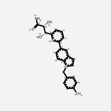 Cc1ccc(Cn2ccc3cc(-c4cccc([C@H](O)[C@@H](O)C(N)=O)n4)ccc32)cc1